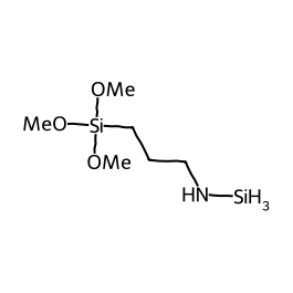 CO[Si](CCCN[SiH3])(OC)OC